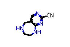 N#Cc1ncc2c(n1)NCCNC2